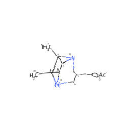 CC(=O)OC1CN2CCN1C(C)C2C